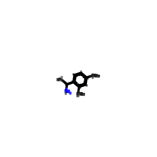 C[CH]CC(N)c1ccc(OC)cc1OC